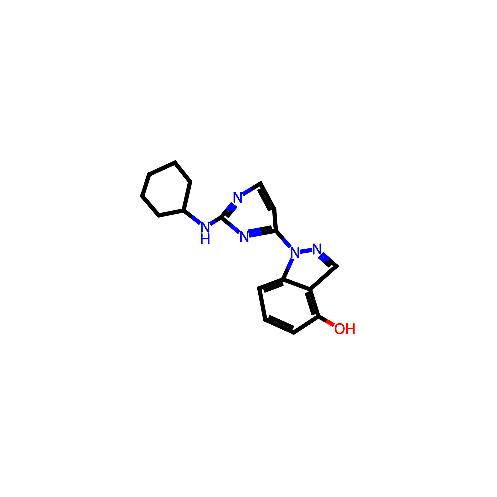 Oc1cccc2c1cnn2-c1ccnc(NC2CCCCC2)n1